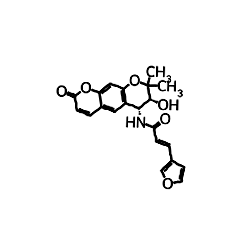 CC1(C)Oc2cc3oc(=O)ccc3cc2[C@@H](NC(=O)/C=C/c2ccoc2)[C@@H]1O